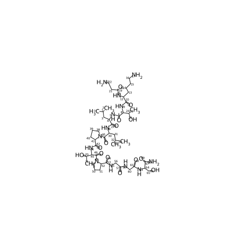 CC(C)CC(NC(=O)C(NC(=O)C(CCCCN)NC(=O)CCN)C(C)O)C(=O)NC(CC(C)C)C(=O)N1CCCC1C(=O)NC(C(=O)N1CCCC1C(=O)NCC(=O)NCC(=O)NC(CO)C(N)=O)C(C)O